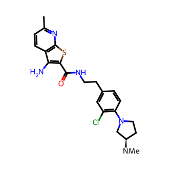 CN[C@@H]1CCN(c2ccc(CCNC(=O)c3sc4nc(C)ccc4c3N)cc2Cl)C1